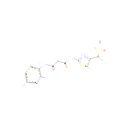 Cc1ccc(NC(=O)CC(=O)Nc2nc(C(N)S(C)(=O)=O)c(Cl)s2)c(OCC(C)C)c1